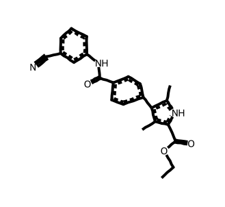 CCOC(=O)c1[nH]c(C)c(-c2ccc(C(=O)Nc3cccc(C#N)c3)cc2)c1C